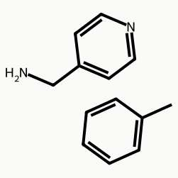 Cc1ccccc1.NCc1ccncc1